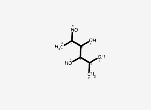 CC(O)C(O)C(O)C(C)N=O